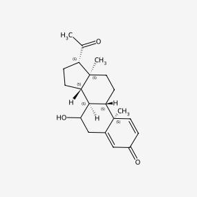 CC(=O)[C@H]1CC[C@H]2[C@@H]3C(O)CC4=CC(=O)C=C[C@]4(C)[C@H]3CC[C@]12C